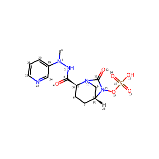 CN(NC(=O)[C@@H]1CC[C@@H]2CN1C(=O)N2OS(=O)(=O)O)c1cccnc1